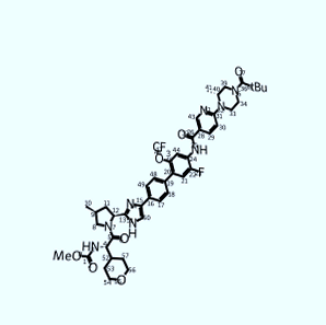 COC(=O)N[C@H](C(=O)N1C[C@@H](C)C[C@H]1c1nc(-c2ccc(-c3cc(F)c(NC(=O)c4ccc(N5CCN(C(=O)C(C)(C)C)C[C@H]5C)nc4)cc3OC(F)(F)F)cc2)c[nH]1)C1CCOCC1